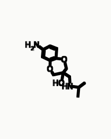 CC(C)NCC1(O)COc2ccc(N)cc2OC1